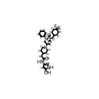 CC(CN(c1ccccc1)S(=O)(=O)CC1CCC(F)(F)CC1)N1CCC(CC(=O)Nc2cc(O)[nH]n2)CC1